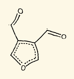 O=[C]c1cocc1[C]=O